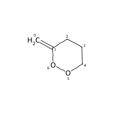 C=C1CCCOO1